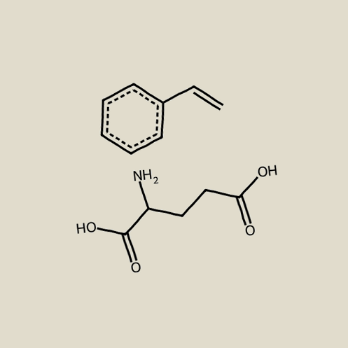 C=Cc1ccccc1.NC(CCC(=O)O)C(=O)O